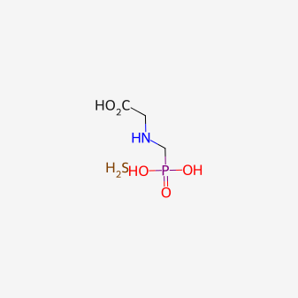 O=C(O)CNCP(=O)(O)O.S